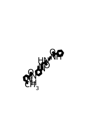 Cc1cccc(C(=O)Nc2ccc3nn(CC(=O)NCCNC(=O)c4ccccc4)cc3c2)n1